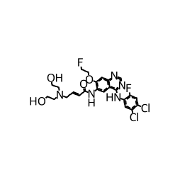 O=C(/C=C/CN(CCO)CCO)Nc1cc2c(Nc3cc(Cl)c(Cl)cc3F)ncnc2cc1OCCF